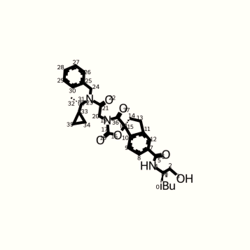 CCC(C)[C@H](CO)NC(=O)c1ccc2c(c1)CC[C@@]21OC(=O)N(CC(=O)N(Cc2ccccc2)[C@@H](C)C2CC2)C1=O